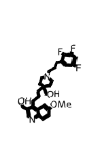 COc1ccc2ncc(CO)c(CCCC3(CO)CCN(CCCc4cc(F)cc(F)c4F)CC3)c2c1